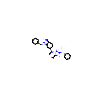 Nc1ncc(-c2ccc3cnn(Cc4ccccc4)c3c2)n2nc(Nc3ccccc3)nc12